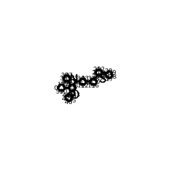 c1ccc(-c2c3c(cc4c(-c5ccc(-c6cccc(-c7cccc8c7sc7ccccc78)c6)cc5)nc5ccccc5c24)oc2ccccc23)cc1